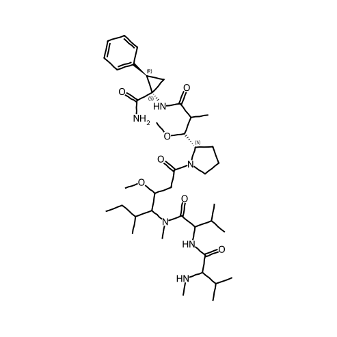 CCC(C)C(C(CC(=O)N1CCC[C@H]1C(OC)C(C)C(=O)N[C@@]1(C(N)=O)C[C@@H]1c1ccccc1)OC)N(C)C(=O)C(NC(=O)C(NC)C(C)C)C(C)C